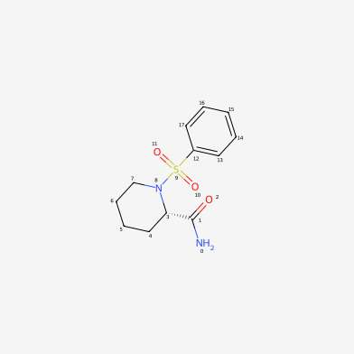 NC(=O)[C@@H]1CCCCN1S(=O)(=O)c1ccccc1